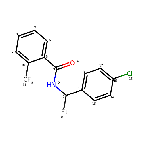 [CH2]CC(NC(=O)c1ccccc1C(F)(F)F)c1ccc(Cl)cc1